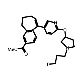 COC(=O)c1ccc2c(c1)CCCC=C2c1ccc(OC2CCN(CCCF)C2)nc1